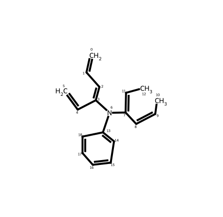 C=C/C=C(\C=C)N(C(/C=C\C)=C/C)c1ccccc1